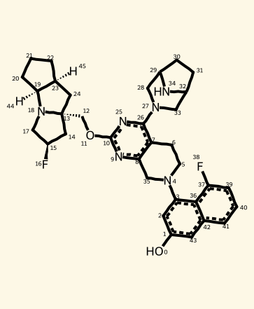 Oc1cc(N2CCc3c(nc(OC[C@]45C[C@@H](F)CN4[C@H]4CCC[C@H]4C5)nc3N3CC4CCC(C3)N4)C2)c2c(F)cccc2c1